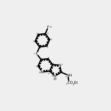 CCOC(=O)Nc1nc2cc(Sc3ccc(F)cc3)cnc2[nH]1